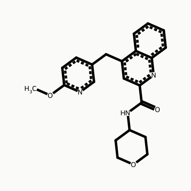 COc1ccc(Cc2cc(C(=O)NC3CCOCC3)nc3ccccc23)cn1